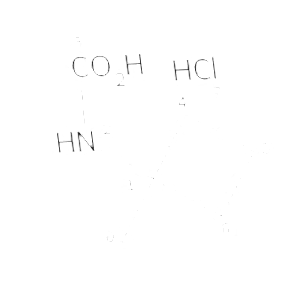 CC1(NC(=O)O)CCC1.Cl